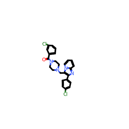 O=C(c1cccc(Cl)c1)N1CCN(Cc2c(-c3ccc(Cl)cc3)nc3ccccn23)CC1